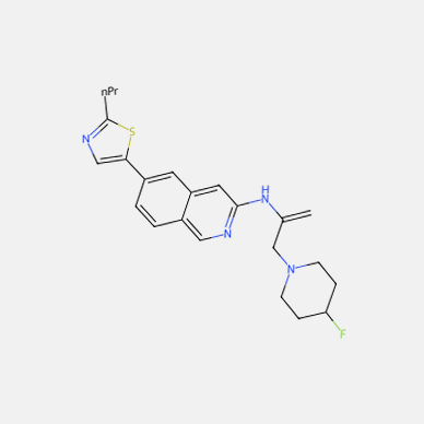 C=C(CN1CCC(F)CC1)Nc1cc2cc(-c3cnc(CCC)s3)ccc2cn1